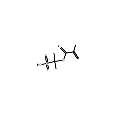 C=C(C)C(=O)OC(C)(C)S(=O)(=O)O